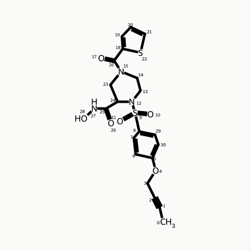 CC#CCOc1ccc(S(=O)(=O)N2CCN(C(=O)c3cccs3)CC2C(=O)NO)cc1